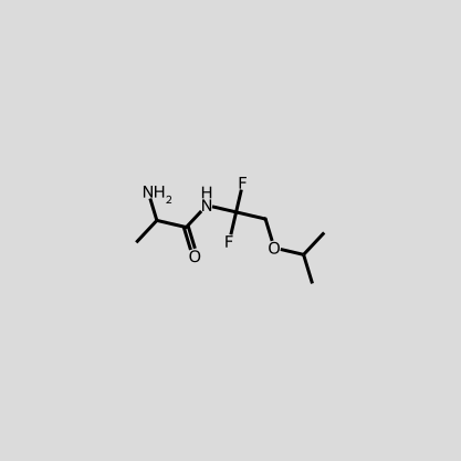 CC(C)OCC(F)(F)NC(=O)C(C)N